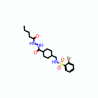 CCCCC(=O)NNC(=O)C1CCC(CNS(=O)(=O)c2ccccc2Br)CC1